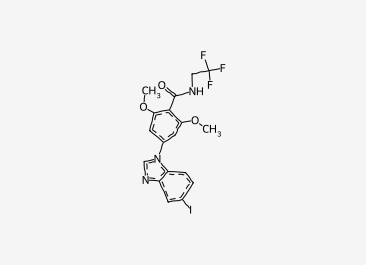 COc1cc(-n2cnc3cc(I)ccc32)cc(OC)c1C(=O)NCC(F)(F)F